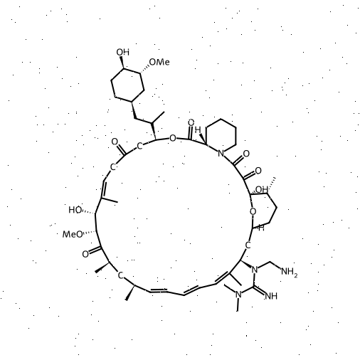 CO[C@@H]1C[C@@H](CC(C)[C@@H]2CC(=O)C/C=C(\C)[C@@H](O)[C@@H](OC)C(=O)[C@H](C)C[C@H](C)/C=C/C=C/C=C(/C)[C@H](N(CN)C(=N)N(C)C)C[C@@H]3CC[C@@H](C)[C@@](O)(O3)C(=O)C(=O)N3CCCC[C@H]3C(=O)O2)CC[C@H]1O